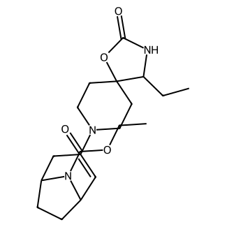 CCOC(=O)N1C2C=C(N3CCC4(CC3)OC(=O)NC4CC)CC1CC2